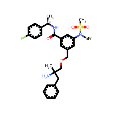 CCCN(c1cc(COCC(C)(N)Cc2ccccc2)cc(C(=O)N[C@H](C)c2ccc(F)cc2)c1)S(C)(=O)=O